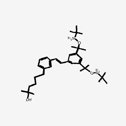 CC(C)(O)CCCCc1cccc(C=Cc2cc(C(C)(C)O[SiH2]C(C)(C)C)cc(C(C)(C)O[SiH2]C(C)(C)C)c2)c1